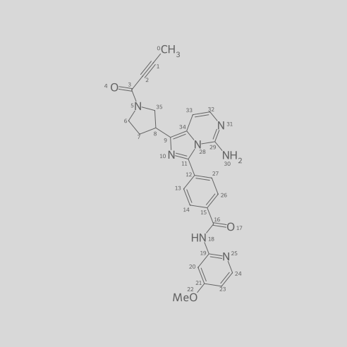 CC#CC(=O)N1CCC(c2nc(-c3ccc(C(=O)Nc4cc(OC)ccn4)cc3)n3c(N)nccc23)C1